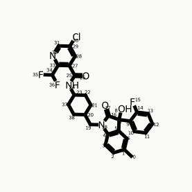 Cc1ccc2c(c1)C(O)(c1ccccc1F)C(=O)N2CC1CCC(NC(=O)c2cc(Cl)cnc2C(F)F)CC1